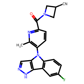 Cc1nc(C(=O)N2CC(C#N)C2)ccc1-n1c2ccc(F)cc2c2[nH]ncc21